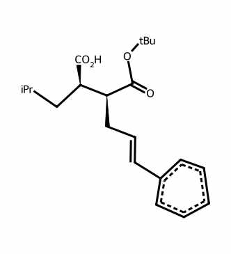 CC(C)C[C@@H](C(=O)O)[C@H](C/C=C/c1ccccc1)C(=O)OC(C)(C)C